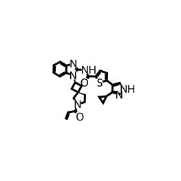 C=CC(=O)N1CC[C@]2(C1)C[C@H](n1c(NC(=O)c3ccc(-c4c[nH]nc4C4CC4)s3)nc3ccccc31)C2